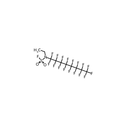 CCN(C(F)(F)C(F)(F)C(F)(F)C(F)(F)C(F)(F)C(F)(F)C(F)(F)C(F)(F)F)S(=O)(=O)F